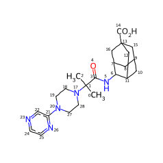 CC(C)(C(=O)NC1C2CC3CC1CC(C(=O)O)(C3)C2)N1CCN(c2cnccn2)CC1